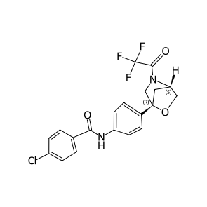 O=C(Nc1ccc([C@@]23C[C@@H](CO2)N(C(=O)C(F)(F)F)C3)cc1)c1ccc(Cl)cc1